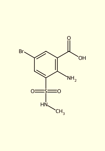 CNS(=O)(=O)c1cc(Br)cc(C(=O)O)c1N